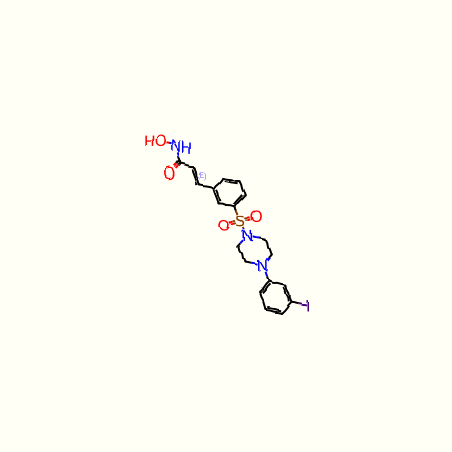 O=C(/C=C/c1cccc(S(=O)(=O)N2CCN(c3cccc(I)c3)CC2)c1)NO